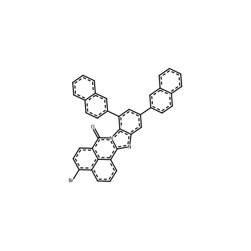 O=c1c2ccc(Br)c3cccc(c32)c2nc3cc(-c4ccc5ccccc5c4)cc(-c4ccc5ccccc5c4)c3n12